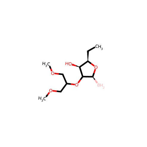 B[C@@H]1O[C@H](CC)[C@H](O)C1OC(COC)COC